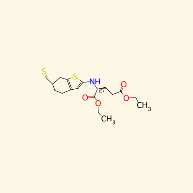 CCOC(=O)CC[C@H](Nc1cc2c(s1)CC(C=S)CC2)C(=O)OCC